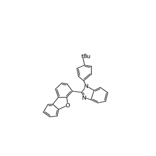 CC(C)(C)c1ccc(-n2c(-c3cccc4c3oc3ccccc34)nc3ccccc32)cc1